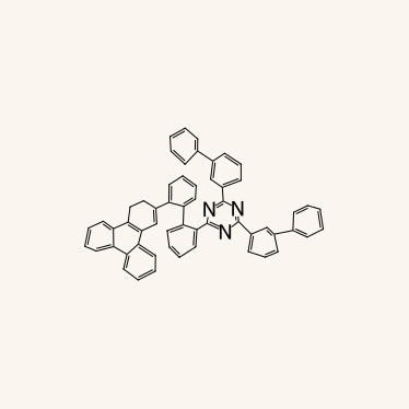 C1=C(c2ccccc2-c2ccccc2-c2nc(-c3cccc(-c4ccccc4)c3)nc(-c3cccc(-c4ccccc4)c3)n2)CCc2c1c1ccccc1c1ccccc21